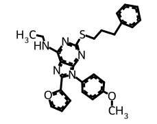 CCNc1nc(SCCCc2ccccc2)nc2c1nc(-c1ccco1)n2-c1ccc(OC)cc1